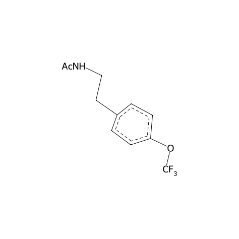 CC(=O)NCCc1ccc(OC(F)(F)F)cc1